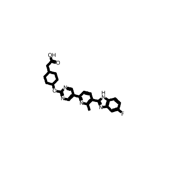 Cc1nc(-c2cnc(OC3CCC(CC(=O)O)CC3)nc2)ccc1-c1nc2cc(F)ccc2[nH]1